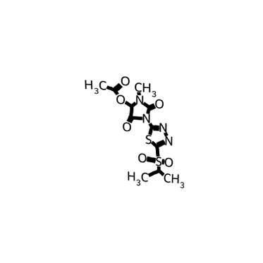 CC(=O)OC1C(=O)N(c2nnc(S(=O)(=O)C(C)C)s2)C(=O)N1C